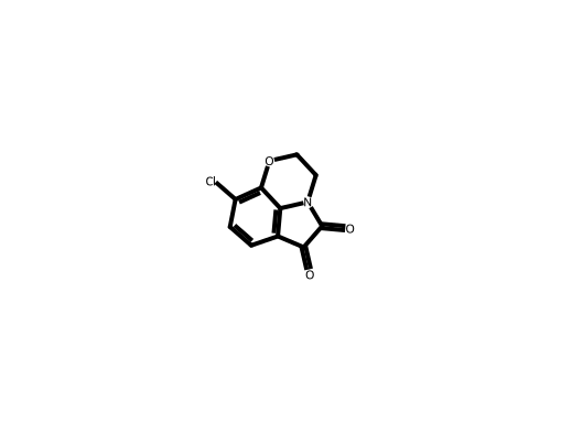 O=C1C(=O)N2CCOc3c(Cl)ccc1c32